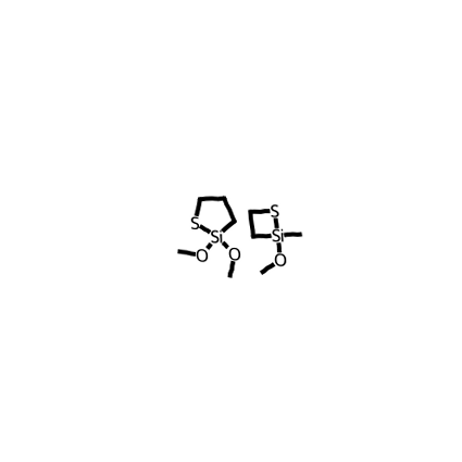 CO[Si]1(C)CCS1.CO[Si]1(OC)CCCS1